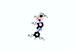 Cc1cc(-n2cc3c(n2)CCN(C(=O)OC(C)(C)C)C3C)cc(C)c1F